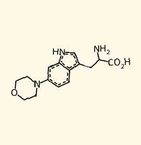 NC(Cc1c[nH]c2cc(N3CCOCC3)ccc12)C(=O)O